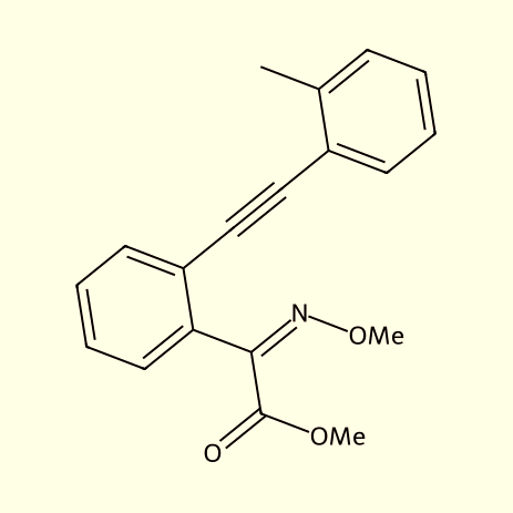 CON=C(C(=O)OC)c1ccccc1C#Cc1ccccc1C